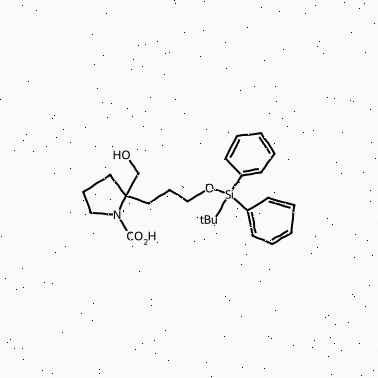 CC(C)(C)[Si](OCCCC1(CO)CCCN1C(=O)O)(c1ccccc1)c1ccccc1